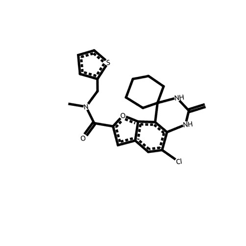 C=C1Nc2c(Cl)cc3cc(C(=O)N(C)Cc4cccs4)oc3c2C2(CCCCC2)N1